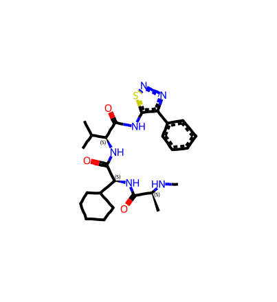 CN[C@@H](C)C(=O)N[C@H](C(=O)N[C@H](C(=O)Nc1snnc1-c1ccccc1)C(C)C)C1CCCCC1